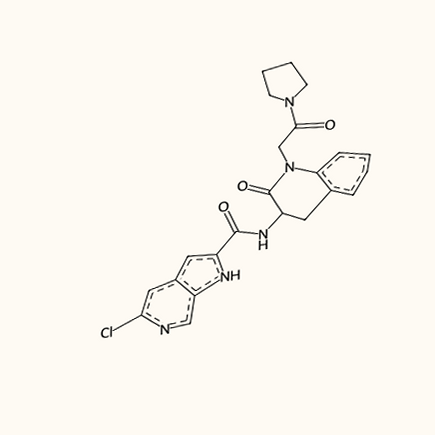 O=C(NC1Cc2ccccc2N(CC(=O)N2CCCC2)C1=O)c1cc2cc(Cl)ncc2[nH]1